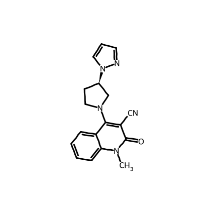 Cn1c(=O)c(C#N)c(N2CC[C@@H](n3cccn3)C2)c2ccccc21